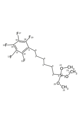 CO[Si](CCCCCCc1c(F)c(F)c(F)c(F)c1F)(OC)OC